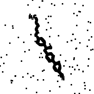 CCCCCCOc1ccc(C(=O)Cc2ccc(-c3ccc(C#N)cc3)cc2)cc1